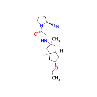 CCO[C@@H]1C[C@@H]2C[C@](C)(NCC(=O)N3CCC[C@H]3C#N)C[C@@H]2C1